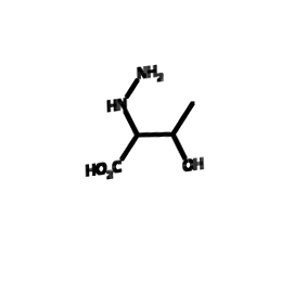 CC(O)C(NN)C(=O)O